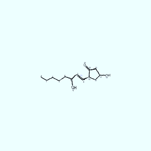 CCCCCC(O)/C=C/[C@@H]1CC(O)CC1=O